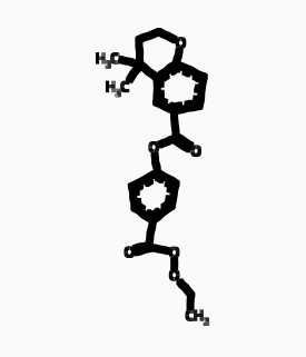 CCOOC(=O)c1ccc(OC(=O)c2ccc3c(c2)C(C)(C)CCO3)cc1